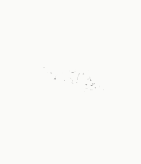 [2H]N1C(C)c2ccc(CCC(=O)OCC)cc2CC1(C)C(C)(C)C